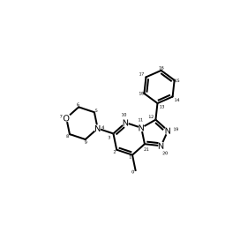 Cc1cc(N2CCOCC2)nn2c(-c3ccccc3)nnc12